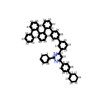 C1=CCCC(c2nc(-c3ccc(C4=CCCCC4)cc3)cc(-c3cccc(-c4ccc(-c5ccccc5-c5ccccc5-c5ccccc5-c5ccccc5)cc4)c3)n2)=C1